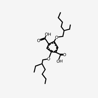 CCCCC(CC)COc1cc(C(=O)O)c(OCC(CC)CCCC)cc1C(=O)O